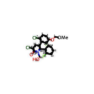 COCOc1ccc(Cl)c(-c2cc(Cl)c(=O)n(CO)c2-c2c(F)cccc2F)c1